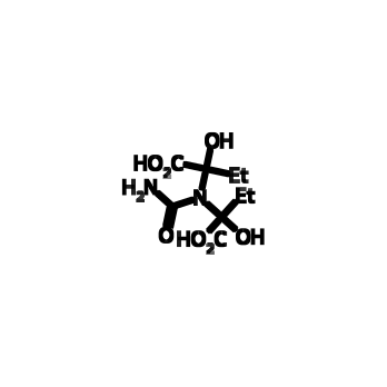 CCC(O)(C(=O)O)N(C(N)=O)C(O)(CC)C(=O)O